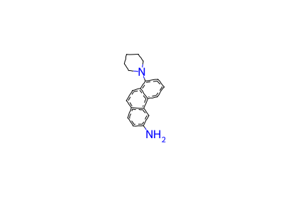 Nc1ccc2ccc3c(N4CCCCC4)cccc3c2c1